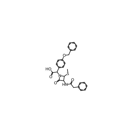 CSC1C(NC(=O)Cc2ccccc2)C(=O)N1C(C(=O)O)c1ccc(OCc2ccccc2)cc1